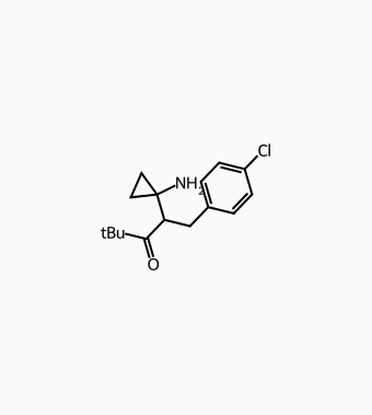 CC(C)(C)C(=O)C(Cc1ccc(Cl)cc1)C1(N)CC1